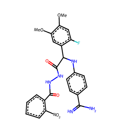 COc1cc(F)c(C(Nc2ccc(C(=N)N)cc2)C(=O)NNC(=O)c2ccccc2[N+](=O)[O-])cc1OC